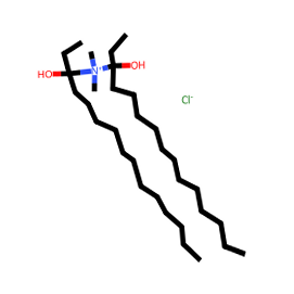 CCCCCCCCCCCCC(O)(CC)[N+](C)(C)C(O)(CC)CCCCCCCCCCCC.[Cl-]